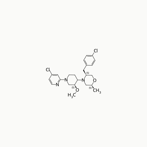 CO[C@H]1CN(c2cc(Cl)ccn2)CCC1N1C[C@H](C)OC[C@@H]1Cc1ccc(Cl)cc1